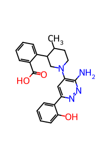 CC1CCN(c2cc(-c3ccccc3O)nnc2N)CC1c1ccccc1C(=O)O